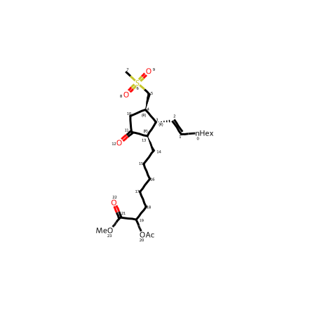 CCCCCCC=C[C@H]1[C@H](CS(C)(=O)=O)CC(=O)[C@@H]1CCCCCC(OC(C)=O)C(=O)OC